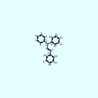 C(=C\C(c1ccccc1)c1ccccc1)/c1ccccc1